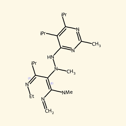 C=N/C(NC)=C(\C(=N/CC)C(C)C)N(C)Nc1nc(C)nc(C(C)C)c1C(C)C